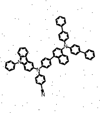 N#Cc1ccc(N(c2ccc(-c3ccc(N(c4ccc(-c5ccccc5)cc4)c4ccc(-c5ccccc5)cc4)c4ccccc34)cc2)c2ccc3c(c2)c2ccccc2n3-c2ccccc2)cc1